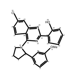 COc1cccc(C2CCCN2c2nc(-c3ccccc3O)nc3cc(Cl)ccc23)c1